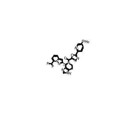 COc1ccc(-c2nnc(C(=O)N3CCc4[nH]cnc4[C@H]3c3cc4cccc(C(F)F)n4n3)o2)nc1